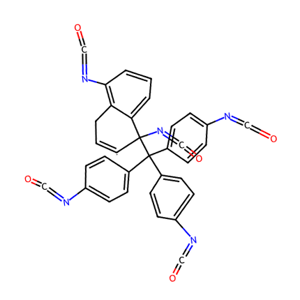 O=C=Nc1ccc(C(c2ccc(N=C=O)cc2)(c2ccc(N=C=O)cc2)C2(N=C=O)[C]=CCc3c(N=C=O)cccc32)cc1